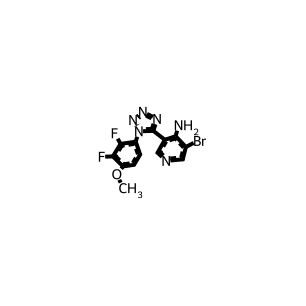 COc1ccc(-n2nnnc2-c2cncc(Br)c2N)c(F)c1F